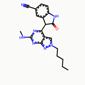 CCCCCn1cc2c(C3C(=O)Nc4ccc(C#N)cc43)nc(NC)nc2n1